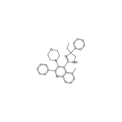 CCC1(c2ccccc2)CNC(c2c(N3CCOCC3)c(-c3ccccc3)nc3cccc(C)c23)=N1